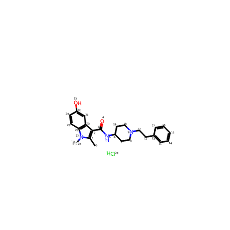 Cc1c(C(=O)NC2CCN(CCc3ccccc3)CC2)c2cc(O)ccc2n1C(C)C.Cl